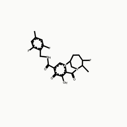 Cc1cc(F)c(CNC(=O)c2cn3c(c(O)c2=O)C(=O)N2CC3CCC(F)C2C)c(F)c1